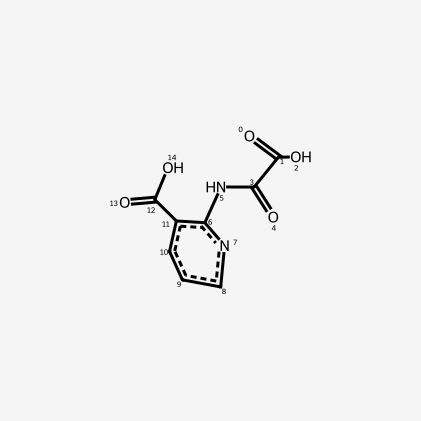 O=C(O)C(=O)Nc1ncccc1C(=O)O